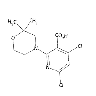 CC1(C)CN(c2nc(Cl)cc(Cl)c2C(=O)O)CCO1